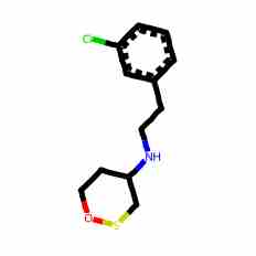 Clc1cccc(CCNC2CCOSC2)c1